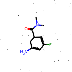 CN(C)C(=O)C1C=C(F)C=C(N)C1